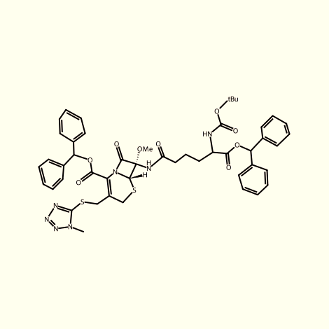 CO[C@@]1(NC(=O)CCCC(NC(=O)OC(C)(C)C)C(=O)OC(c2ccccc2)c2ccccc2)C(=O)N2C(C(=O)OC(c3ccccc3)c3ccccc3)=C(CSc3nnnn3C)CS[C@H]21